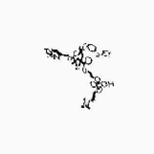 CCOC(=O)C(C)(C)CC(C)(CC(C)(Br)C(=O)OCc1cn(C)nn1)C(=O)OCCOP(=O)(O)OCC[N+](C)(C)C